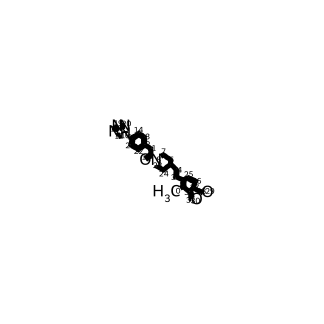 CC1=C(/C=C/C2CCN(C(=O)Cc3ccc(-n4cnnn4)cc3)CC2)C=CC2C(=O)OC=C12